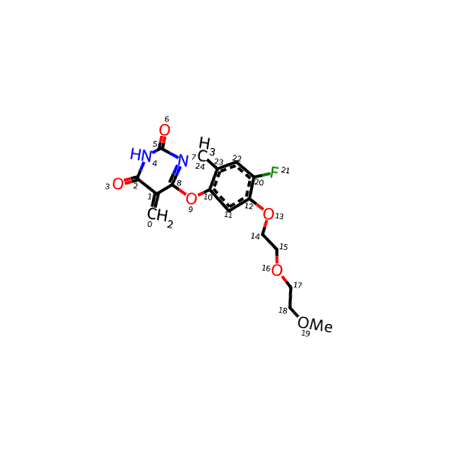 C=C1C(=O)NC(=O)N=C1Oc1cc(OCCOCCOC)c(F)cc1C